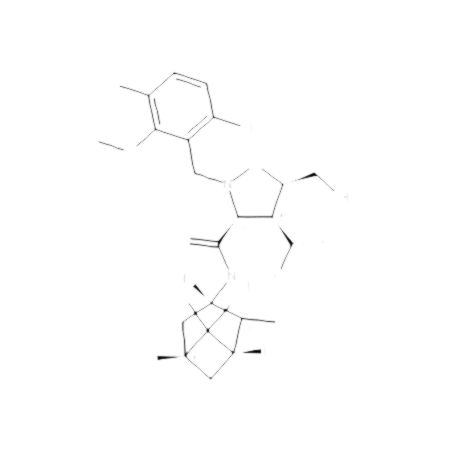 COc1c(Br)ccc(Cl)c1CN1O[C@@H](CO)[C@@H]([C@H](C)O)[C@H]1C(=O)N[C@H]1C[C@H]2C[C@@H]([C@@H]1C)C2(C)C